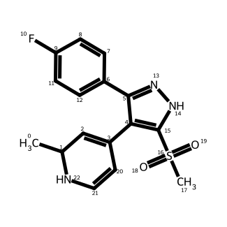 CC1C=C(c2c(-c3ccc(F)cc3)n[nH]c2S(C)(=O)=O)C=CN1